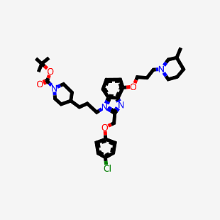 CC1CCCN(CCCOc2cccc3c2nc(COc2ccc(Cl)cc2)n3CCCC2CCN(C(=O)OC(C)(C)C)CC2)C1